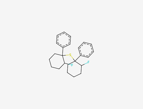 FC1CCCCC1(SC1(c2ccccc2)CCCCC1F)c1ccccc1